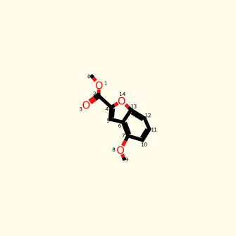 COC(=O)c1cc2c(OC)cccc2o1